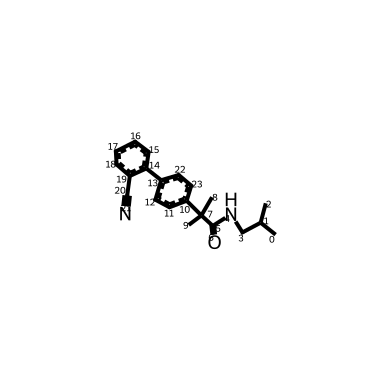 CC(C)CNC(=O)C(C)(C)c1ccc(-c2ccccc2C#N)cc1